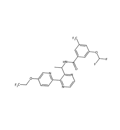 CC(NC(=O)c1cc(OC(F)F)cc(C(F)(F)F)c1)c1nccnc1-c1ccc(OCC(F)(F)F)cn1